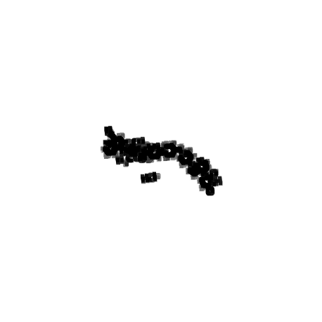 CC1(C)C(NC(=O)c2ccc(N3CCC(CN4CCC(n5ccc6c(N7CCC(=O)NC7=O)ccnc65)CC4)CC3)nc2)C(C)(C)C1Oc1ccc(C#N)c2ncccc12.Cl